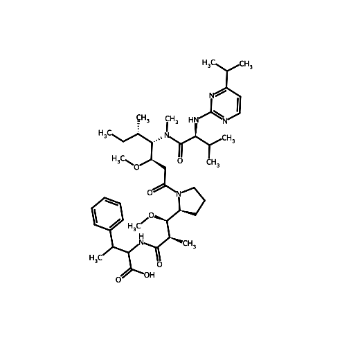 CC[C@H](C)[C@@H]([C@@H](CC(=O)N1CCC[C@H]1[C@H](OC)[C@@H](C)C(=O)NC(C(=O)O)C(C)c1ccccc1)OC)N(C)C(=O)[C@@H](Nc1nccc(C(C)C)n1)C(C)C